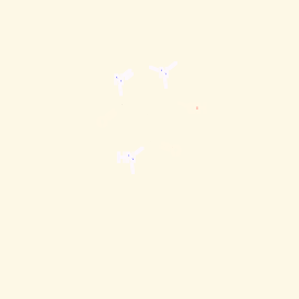 Cc1cccn2c(O)c(C(=O)NCCC3CCCCC3)c(=O)nc12